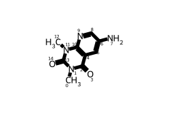 Cn1c(=O)c2cc(N)cnc2n(C)c1=O